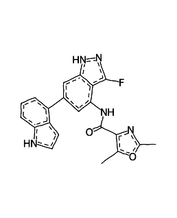 Cc1nc(C(=O)Nc2cc(-c3cccc4[nH]ccc34)cc3[nH]nc(F)c23)c(C)o1